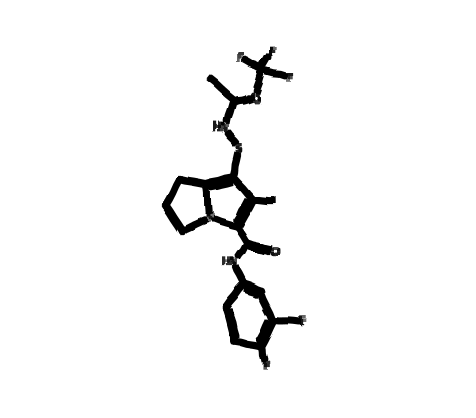 Cc1c(SNC(C)OC(F)(F)F)c2n(c1C(=O)Nc1ccc(F)c(F)c1)CCC2